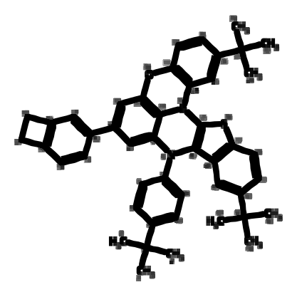 CC(C)(C)c1ccc(N2c3cc(-c4ccc5c(c4)CC5)cc4c3B(c3cc(C(C)(C)C)ccc3O4)c3sc4ccc(C(C)(C)C)cc4c32)cc1